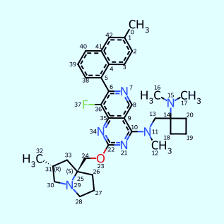 Cc1ccc2c(-c3ncc4c(N(C)CC5(N(C)C)CCC5)nc(OC[C@@]56CCCN5C[C@H](C)C6)nc4c3F)cccc2c1